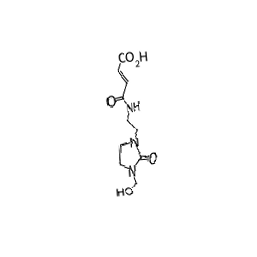 O=C(O)C=CC(=O)NCCN1CCN(CO)C1=O